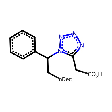 CCCCCCCCCCCC(c1ccccc1)n1nnnc1CC(=O)O